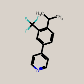 CC(C)c1ccc(-c2ccncc2)cc1C(F)(F)F